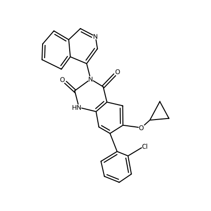 O=c1[nH]c2cc(-c3ccccc3Cl)c(OC3CC3)cc2c(=O)n1-c1cncc2ccccc12